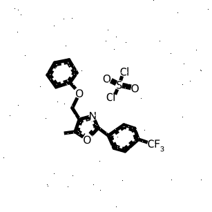 Cc1oc(-c2ccc(C(F)(F)F)cc2)nc1COc1ccccc1.O=S(=O)(Cl)Cl